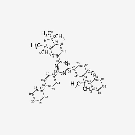 CC1(C)CC(C)(C)c2cc(-c3nc(-c4ccc(-c5ccccc5)cc4)nc(-c4ccc5c(c4)C(C)(C)c4ccccc4O5)n3)ccc21